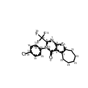 O=c1c2c3c(sc2nc(C(F)(F)F)n1-c1ccc(Cl)cc1)CCCCC3